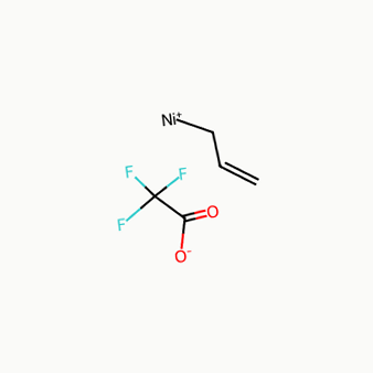 C=C[CH2][Ni+].O=C([O-])C(F)(F)F